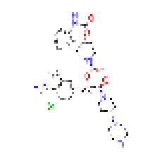 CN1CCN(C2CCN(C(=O)[C@@H](Cc3cc(Br)c(N)c(C(F)(F)F)c3)OC(=O)N3CCC4(CC3)OC(=O)Nc3ccccc34)CC2)CC1